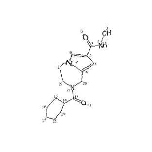 O=C(NO)c1cc2n(c1)CCN(C(=O)C1CCCCC1)C2